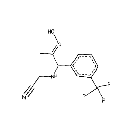 CC(=NO)C(NCC#N)c1cccc(C(F)(F)F)c1